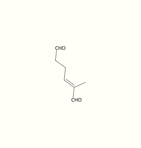 CC(C=O)=CCCC=O